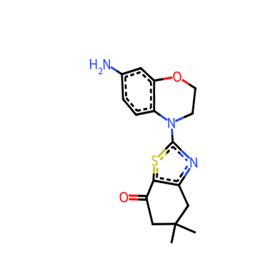 CC1(C)CC(=O)c2sc(N3CCOc4cc(N)ccc43)nc2C1